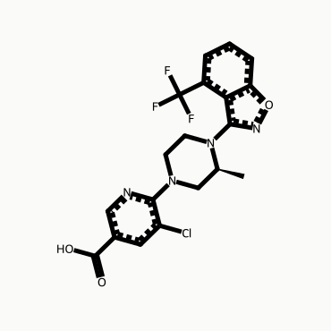 C[C@H]1CN(c2ncc(C(=O)O)cc2Cl)CCN1c1noc2cccc(C(F)(F)F)c12